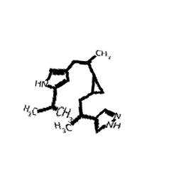 CC(C)c1cc(CC(C)C2CC2CC(C)c2cn[nH]c2)c[nH]1